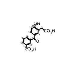 O=C(O)Cc1cc(C(=O)c2cccc(C(=O)O)c2)ccc1O